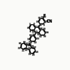 N#Cc1cc(-c2c3ccccc3c(-c3ccc(-n4c5ccccc5c5ccccc54)cc3)c3ccccc23)ccc1F